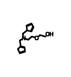 OCCOCCN(CC1=CC=CC1)CC1C=CC=C1